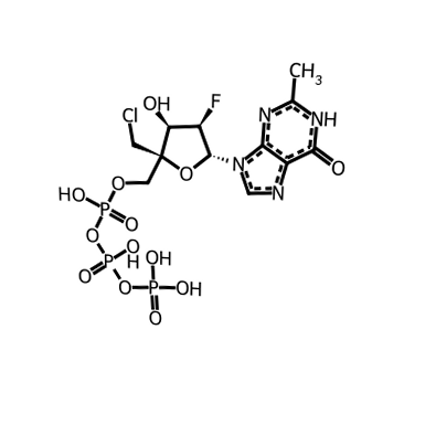 Cc1nc2c(ncn2[C@@H]2O[C@](CCl)(COP(=O)(O)OP(=O)(O)OP(=O)(O)O)[C@@H](O)[C@H]2F)c(=O)[nH]1